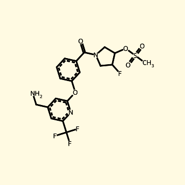 CS(=O)(=O)OC1CN(C(=O)c2cccc(Oc3cc(CN)cc(C(F)(F)F)n3)c2)CC1F